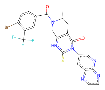 C[C@@H]1Cc2c([nH]c(=S)n(-c3cnc4nccnc4c3)c2=O)CN1C(=O)c1ccc(Br)c(C(F)(F)F)c1